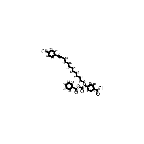 O=C(Cl)c1ccc(N(CCCCCCCCCCCC#Cc2ccc(Cl)cc2)C(=O)OC(=O)c2ccccc2)cc1